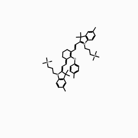 Cc1ccc(OC2=C(/C=C/C3=[N+](CCC[N+](C)(C)C)c4ccc(C)cc4C3(C)C)CCC/C2=C\C=C2\N(CCC[N+](C)(C)C)c3ccc(C)cc3C2(C)C)cc1